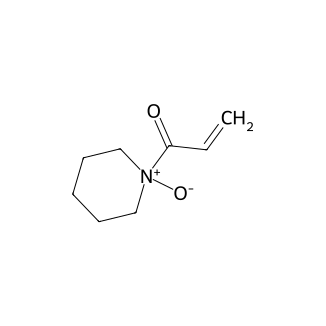 C=CC(=O)[N+]1([O-])CCCCC1